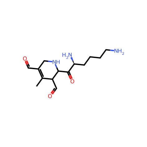 CC1=C(C=O)CNC(C(=O)[C@@H](N)CCCCN)C1C=O